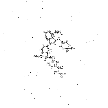 COc1ncc(-c2cc(CN3CCC(F)(F)CC3)c3c(N)ncnn23)cc1C(=O)N[C@@H]1CN(C(=O)C2(F)CC2)C[C@@H]1F